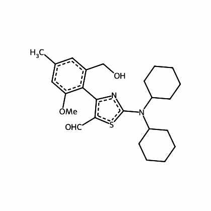 COc1cc(C)cc(CO)c1-c1nc(N(C2CCCCC2)C2CCCCC2)sc1C=O